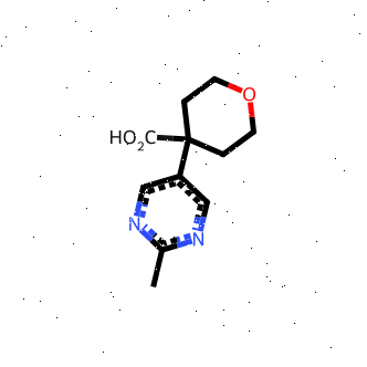 Cc1ncc(C2(C(=O)O)CCOCC2)cn1